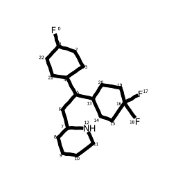 FC1CCC(C(CC2CCCCN2)C2CCC(F)(F)CC2)CC1